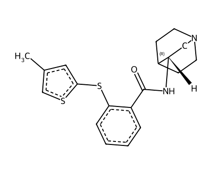 Cc1csc(Sc2ccccc2C(=O)N[C@H]2CN3CCC2CC3)c1